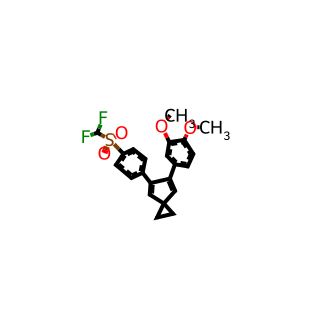 COc1ccc(C2=CC3(C=C2c2ccc(S(=O)(=O)C(F)F)cc2)CC3)cc1OC